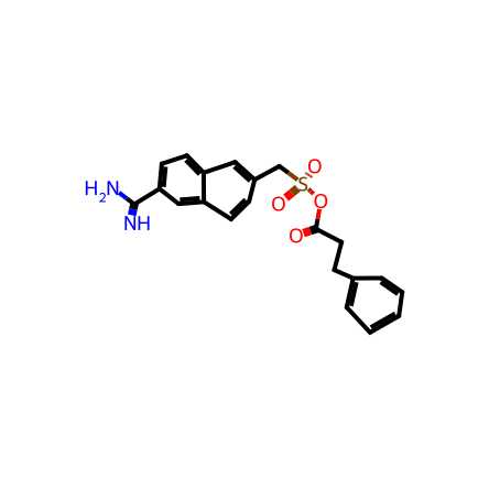 N=C(N)c1ccc2cc(CS(=O)(=O)OC(=O)CCc3ccccc3)ccc2c1